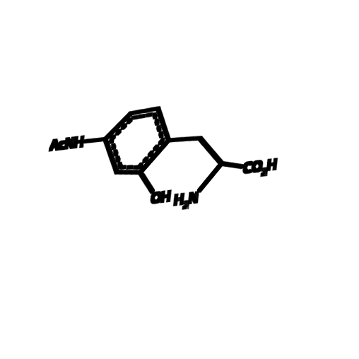 CC(=O)Nc1ccc(CC(N)C(=O)O)c(O)c1